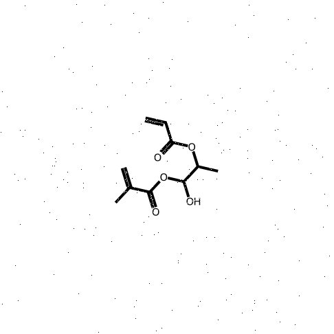 C=CC(=O)OC(C)C(O)OC(=O)C(=C)C